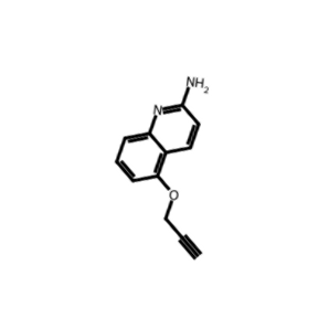 C#CCOc1cccc2nc(N)ccc12